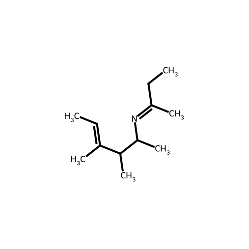 C/C=C(\C)C(C)C(C)/N=C(\C)CC